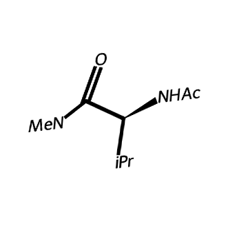 CNC(=O)[C@@H](NC(C)=O)C(C)C